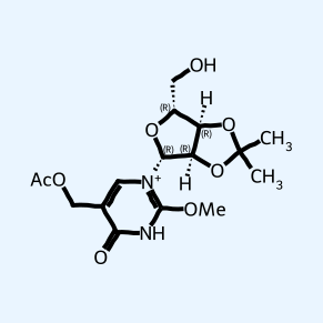 COc1[nH]c(=O)c(COC(C)=O)c[n+]1[C@@H]1O[C@H](CO)[C@H]2OC(C)(C)O[C@H]21